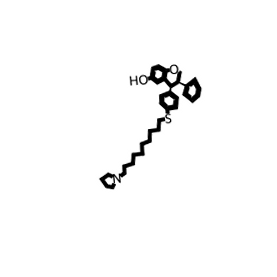 Oc1ccc2c(c1)[C@H](c1ccc(SCCCCCCCCCCN3CCCC3)cc1)[C@H](c1ccccc1)CO2